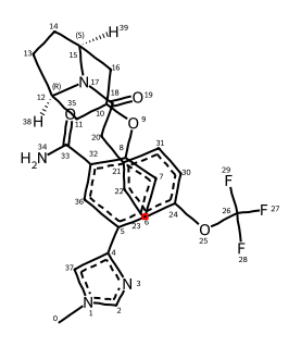 Cn1cnc(-c2ccc(OC3C[C@H]4CC[C@@H](C3)N4C(=O)Cc3ccc(OC(F)(F)F)cc3)c(C(N)=O)c2)c1